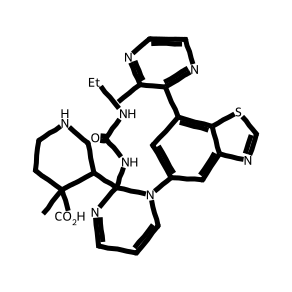 CCNC(=O)NC1(C2CNCCC2(C)C(=O)O)N=CC=CN1c1cc(-c2nccnc2C)c2scnc2c1